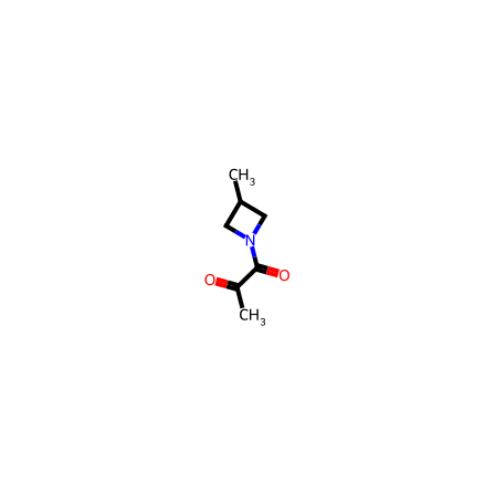 CC(=O)C(=O)N1CC(C)C1